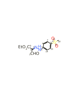 CCOC(=O)/C(C=O)=N/Nc1ccc(S(C)(=O)=O)cc1